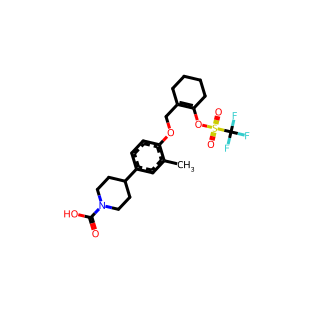 Cc1cc(C2CCN(C(=O)O)CC2)ccc1OCC1=C(OS(=O)(=O)C(F)(F)F)CCCC1